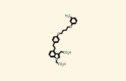 Cc1cccc(OCCCCOc2ccc(CCc3cccc4c3c(CC(=O)O)cn4CC(=O)O)cc2)c1